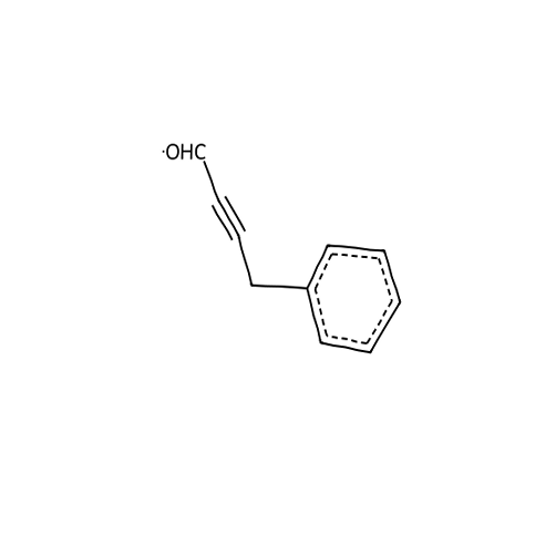 O=[C]C#CCc1ccccc1